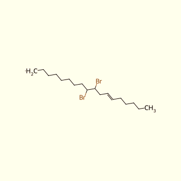 [CH2]CCCCCCCC(Br)C(Br)C/C=C/CCCCC